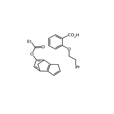 CC(C)CCOc1ccccc1C(=O)O.CCC(=O)OC1=C2CC(=C1)C1=C2CC=C1